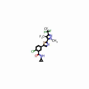 Cn1nc(C(F)(F)C(F)(F)F)c(C(F)(F)F)c1-c1ncc(-c2ccc(Cl)c(C(=O)NC3CC3)c2)s1